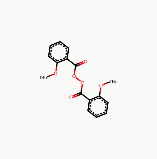 CC(C)(C)Oc1ccccc1C(=O)OOC(=O)c1ccccc1OC(C)(C)C